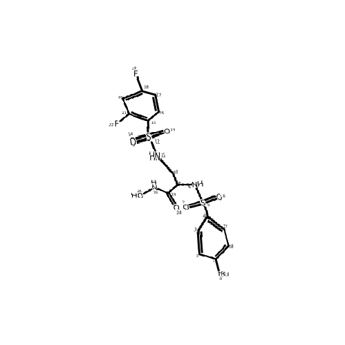 CC(C)(C)c1ccc(S(=O)(=O)NC(CNS(=O)(=O)c2ccc(F)cc2F)C(=O)NO)cc1